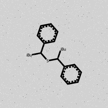 CCC(C)C(SC(c1ccccc1)C(C)CC)c1ccccc1